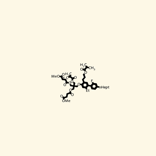 C=C(C)C(=O)OCCCc1cc(-c2ccc(CCCCCCC)cc2F)c(CC)cc1OCC(COC(=O)CCC(=O)OC)(COC(=O)CCC(=O)OC)COC(=O)C(=C)C